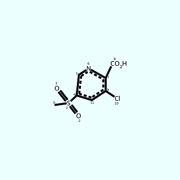 CS(=O)(=O)c1cnc(C(=O)O)c(Cl)c1